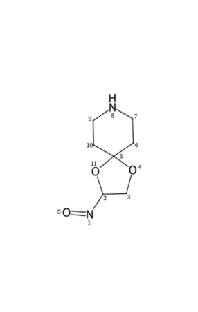 O=NC1COC2(CCNCC2)O1